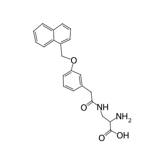 NC(CNC(=O)Cc1cccc(OCc2cccc3ccccc23)c1)C(=O)O